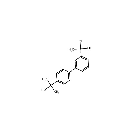 CC(C)(O)c1ccc(-c2cccc(C(C)(C)O)c2)cc1